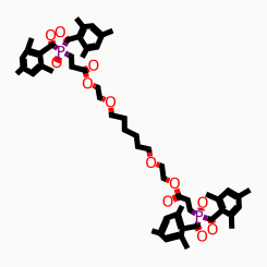 Cc1cc(C)c(C(=O)P(=O)(CCC(=O)OCCOCCCCCCOCCOC(=O)CCP(=O)(C(=O)c2c(C)cc(C)cc2C)C(=O)c2c(C)cc(C)cc2C)C(=O)c2c(C)cc(C)cc2C)c(C)c1